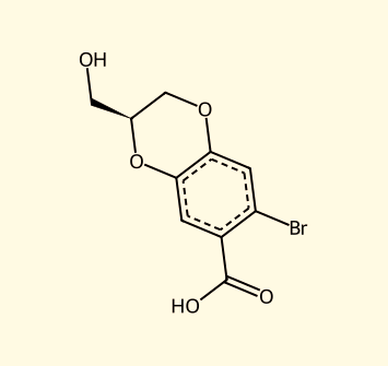 O=C(O)c1cc2c(cc1Br)OC[C@H](CO)O2